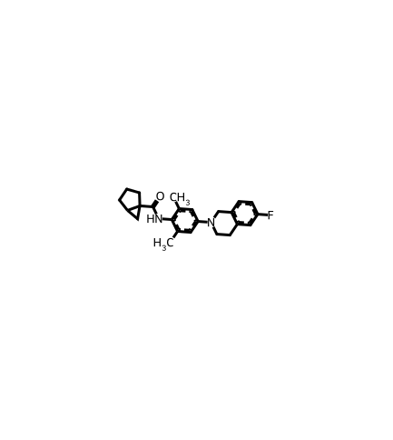 Cc1cc(N2CCc3cc(F)ccc3C2)cc(C)c1NC(=O)C12CCCC1C2